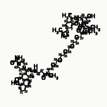 Cc1ncsc1-c1ccc([C@H](C)NC(=O)[C@@H]2C[C@@H](O)CN2C(=O)[C@@H](NC(=O)COCCOCCOCCOCCOCCN(C)C(=O)CCNc2nc(N3CCN(C(N)=O)CC3)c3cc(Cl)c(-c4c(O)cccc4F)c(F)c3n2)C(C)(C)C)cc1